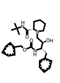 CC(C)(C)NC(=O)[C@@H]1CCCCN1C[C@@H](O)[C@H](Cc1ccccc1)NC(=O)OCc1ccccc1